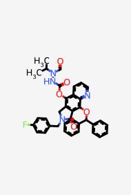 CC(C)N(C=O)NC(=O)Oc1c2c(c(OC(c3ccccc3)c3ccccc3)c3ncccc13)C(=O)N(Cc1ccc(F)cc1)C2